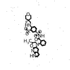 CC1CN(c2ccccc2C(=O)NS(=O)(=O)c2ccc(NCC3(F)CCOCC3)c([N+](=O)[O-])c2)c2cc3cc[nH]c3nc2O1